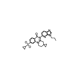 CCCn1cnc2ccc(NC(=O)c3ccc(S(=O)(=O)C4CC4)cc3N3CCC4(CC3)CC4)nc21